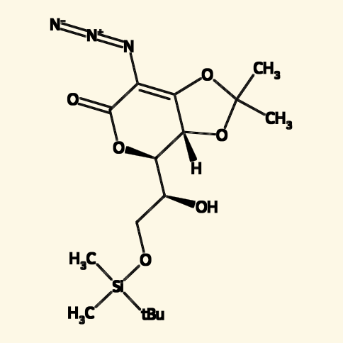 CC1(C)OC2=C(N=[N+]=[N-])C(=O)O[C@H]([C@@H](O)CO[Si](C)(C)C(C)(C)C)[C@H]2O1